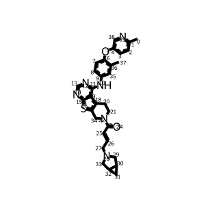 Cc1ccc(Oc2ccc(Nc3ncnc4sc5c(c34)CCN(C(=O)/C=C/CN3CC4CC4C3)C5)cc2C)cn1